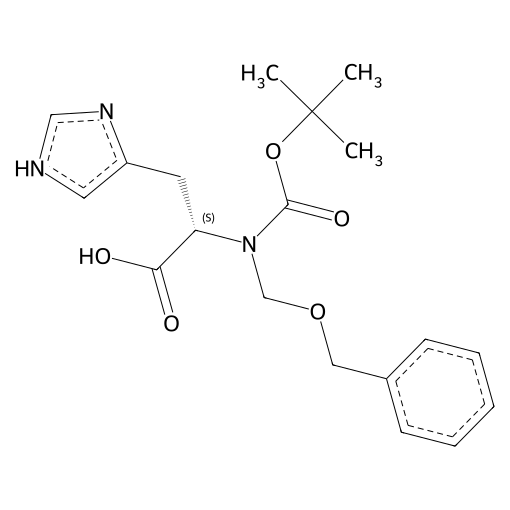 CC(C)(C)OC(=O)N(COCc1ccccc1)[C@@H](Cc1c[nH]cn1)C(=O)O